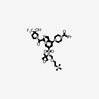 CC(C)C(=O)N1CCN(c2cc(S(=O)(=O)N(COCC[Si](C)(C)C)C3(C)COC3)cn3c(C(=O)N4CCC(O)(C(F)(F)F)C4)ncc23)CC1